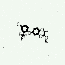 CCOC(=O)C(C)Oc1ccc(Oc2ccc(Cl)cc2C(F)(F)F)cc1